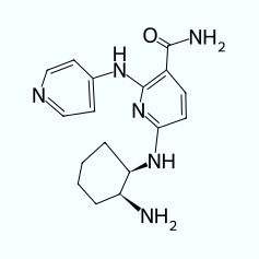 NC(=O)c1ccc(N[C@@H]2CCCC[C@@H]2N)nc1Nc1ccncc1